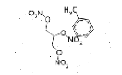 Cc1ccccc1.O=[N+]([O-])OCC(CO[N+](=O)[O-])O[N+](=O)[O-]